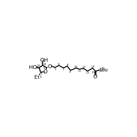 CC[C@@H]1O[C@@H](OCCCCCCCCCCC(=O)C(C)(C)C)C(O)C1O